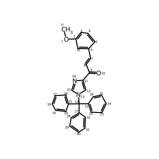 COc1cccc(C=CC(=O)c2cn(C(c3ccccc3)(c3ccccc3)c3ccccc3)cn2)c1